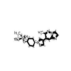 Cc1nn2ccnc2cc1-c1cnn([C@H]2CC[C@H](O[Si](C)(C)C(C)(C)C)CC2)c1